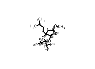 COC(=O)CC1(CCC(C)C)OC(C(F)(F)F)(C(F)(F)F)OC1=O